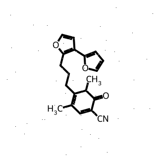 CC1=C(CCCc2occc2-c2ccco2)C(C)C(=O)C(C#N)=C1